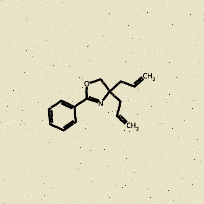 C=CCC1(CC=C)COC(c2ccccc2)=N1